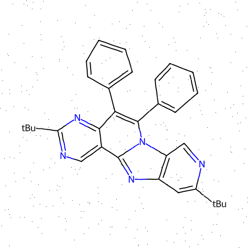 CC(C)(C)c1cc2nc3c4cnc(C(C)(C)C)nc4c(-c4ccccc4)c(-c4ccccc4)n3c2cn1